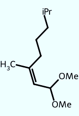 COC(C=C(C)CCCC(C)C)OC